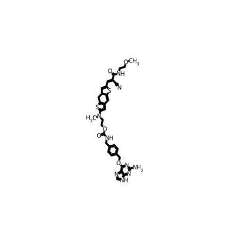 COCCNC(=O)/C(C#N)=C/C1=CC2Cc3sc(N(C)CCOC(=O)NCc4ccc(COc5nc(N)nc6[nH]cnc56)cc4)cc3C=C2S1